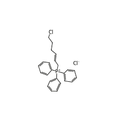 ClCCCC=CC[P+](c1ccccc1)(c1ccccc1)c1ccccc1.[Cl-]